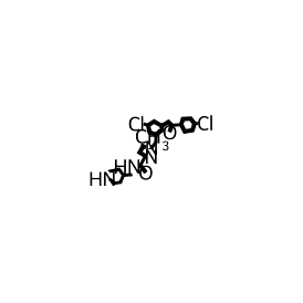 Cc1cc(C(=O)NCC2CCNCC2)nn1Cc1cc(Cl)cc2cc(-c3ccc(Cl)cc3)oc12